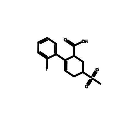 CS(=O)(=O)C1CC=C(c2ccccc2F)C(C(=O)O)C1